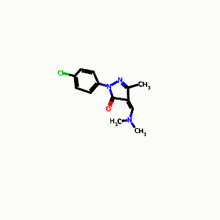 CC1=NN(c2ccc(Cl)cc2)C(=O)C1=CN(C)C